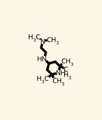 CN(C)CCNC1CC(C)(C)NC(C)(C)C1